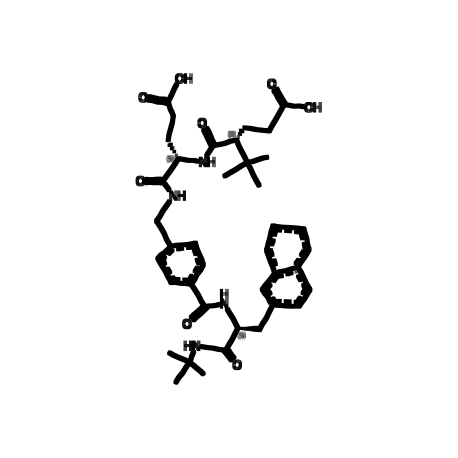 CC(C)(C)NC(=O)[C@H](Cc1ccc2ccccc2c1)NC(=O)c1ccc(CNC(=O)[C@H](CCC(=O)O)NC(=O)[C@H](CCC(=O)O)C(C)(C)C)cc1